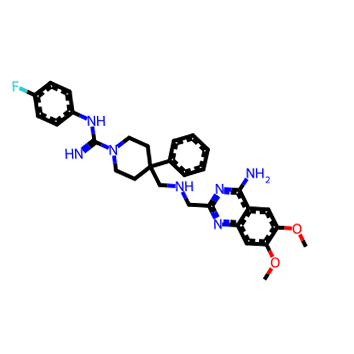 COc1cc2nc(CNCC3(c4ccccc4)CCN(C(=N)Nc4ccc(F)cc4)CC3)nc(N)c2cc1OC